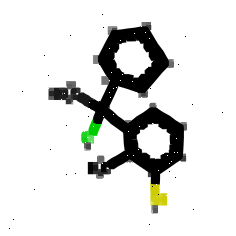 Cc1c(S)cccc1C(Cl)(C(=O)O)c1ccccc1